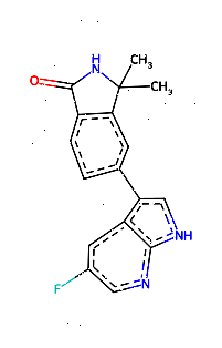 CC1(C)NC(=O)c2ccc(-c3c[nH]c4ncc(F)cc34)cc21